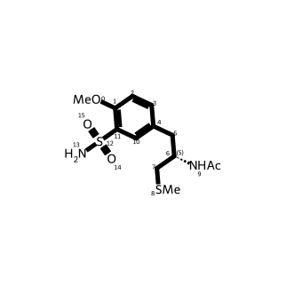 COc1ccc(C[C@@H](CSC)NC(C)=O)cc1S(N)(=O)=O